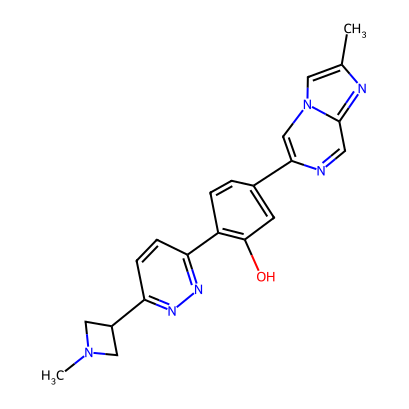 Cc1cn2cc(-c3ccc(-c4ccc(C5CN(C)C5)nn4)c(O)c3)ncc2n1